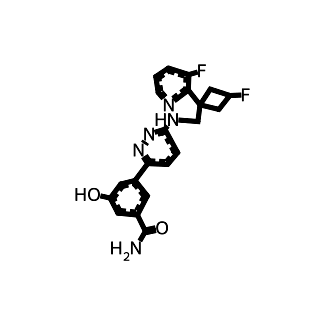 NC(=O)c1cc(O)cc(-c2ccc(NCC3(c4ncccc4F)CC(F)C3)nn2)c1